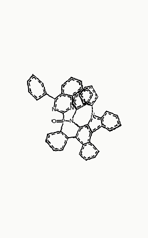 O=P1(c2nc(-c3ccccc3)c3ccccc3n2)c2ccccc2-c2c(c3c(c4ccccc24)c2ccccc2n3-c2ccccc2)N1c1ccccc1